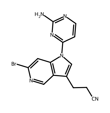 N#CCCc1cn(-c2ccnc(N)n2)c2cc(Br)ncc12